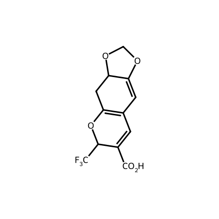 O=C(O)C1=CC2=C(CC3OCOC3=C2)OC1C(F)(F)F